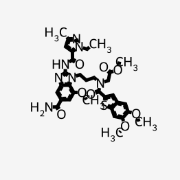 CCn1nc(C)cc1C(=O)Nc1nc2cc(C(N)=O)cc(OC)c2n1CCCN(CC(=O)OC)C(=O)c1cc2cc(OC)c(OC)cc2s1